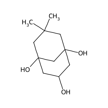 CC1(C)CC2(O)CC(O)CC(O)(C1)C2